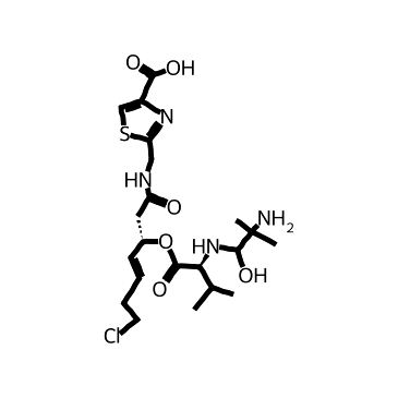 CC(C)[C@H](NC(O)C(C)(C)N)C(=O)O[C@H](/C=C/CCCl)CC(=O)NCc1nc(C(=O)O)cs1